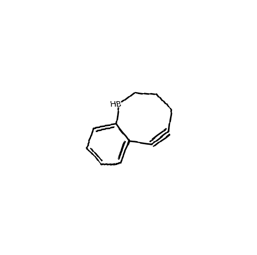 B1CCCC#Cc2ccccc21